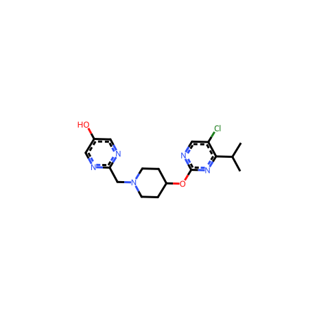 CC(C)c1nc(OC2CCN(Cc3ncc(O)cn3)CC2)ncc1Cl